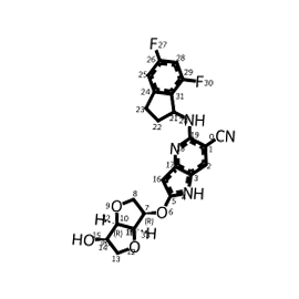 N#Cc1cc2[nH]c(O[C@@H]3CO[C@H]4[C@@H]3OC[C@H]4O)cc2nc1NC1CCc2cc(F)cc(F)c21